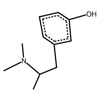 CC(Cc1cccc(O)c1)N(C)C